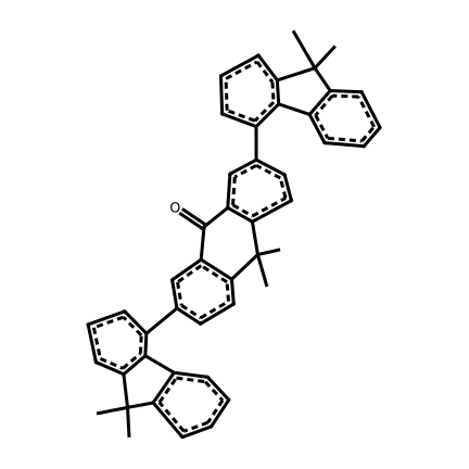 CC1(C)c2ccc(-c3cccc4c3-c3ccccc3C4(C)C)cc2C(=O)c2cc(-c3cccc4c3-c3ccccc3C4(C)C)ccc21